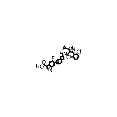 Cn1cc(C(=O)O)c2cc(F)c(N3C4CCC3C3(CC(NCc5c(-c6c(Cl)cccc6Cl)noc5C5CC5)C3)C4)cc21